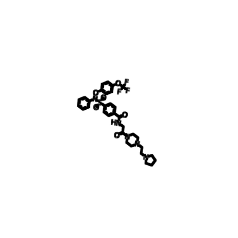 O=C(NCC(=O)N1CCN(CCN2CCCC2)CC1)c1ccc(S(=O)(=O)N(Oc2ccc(OC(F)(F)F)cc2)c2ccccc2)cc1